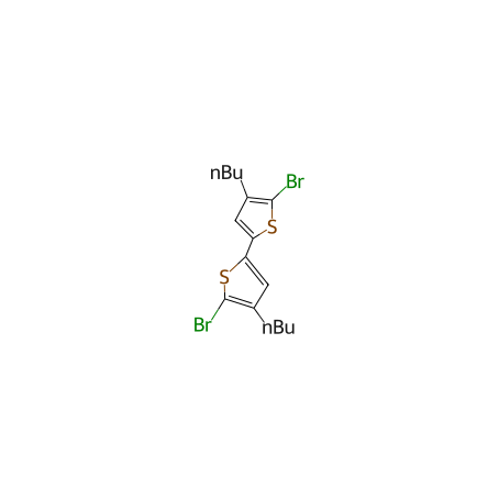 CCCCc1cc(-c2cc(CCCC)c(Br)s2)sc1Br